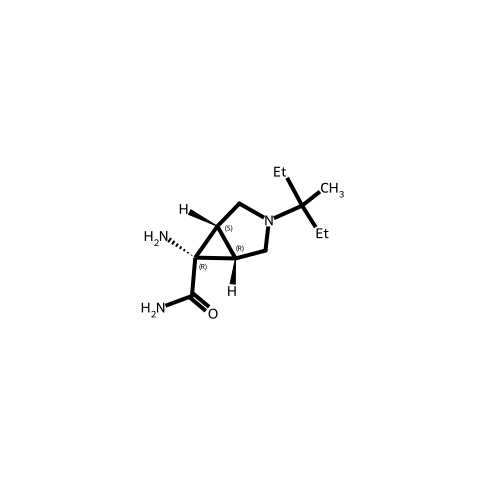 CCC(C)(CC)N1C[C@@H]2[C@H](C1)[C@@]2(N)C(N)=O